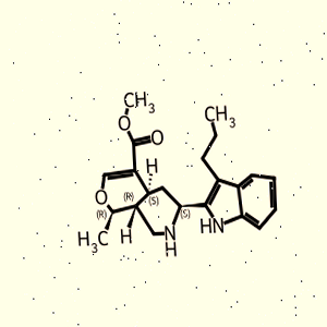 CCCc1c([C@@H]2C[C@@H]3C(C(=O)OC)=CO[C@H](C)[C@H]3CN2)[nH]c2ccccc12